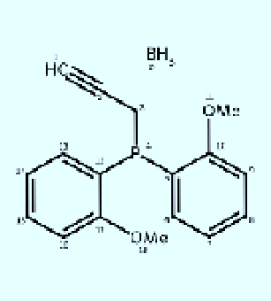 B.C#CCP(c1ccccc1OC)c1ccccc1OC